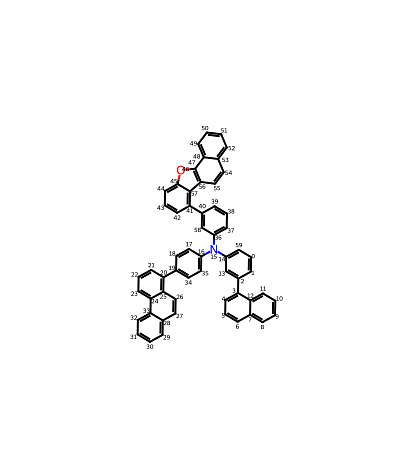 c1cc(-c2cccc3ccccc23)cc(N(c2ccc(-c3cccc4c3ccc3ccccc34)cc2)c2cccc(-c3cccc4oc5c6ccccc6ccc5c34)c2)c1